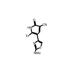 CCc1[nH]c(=O)c(C#N)cc1-c1csc(NC)n1